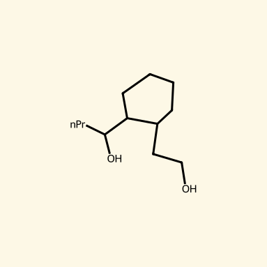 CCCC(O)C1CCCCC1CCO